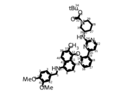 COc1ccc(CNc2cccc3c(Oc4ncccc4-c4ccnc(N[C@H]5CCCN(C(=O)OC(C)(C)C)C5)n4)c(C)ccc23)cc1OC